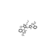 CCCCc1nc(Cl)c(C(OC)c2ccccc2C(=O)OC)n1Cc1ccc(-c2ccccc2C(=O)OC)s1